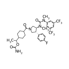 CC(OC(N)=O)C1CCC(C(=O)N2C[C@@H](N(C)C(=O)N(C)c3cc(C(F)(F)F)cc(C(F)(F)F)c3)[C@H](c3ccc(F)cc3)C2)CC1